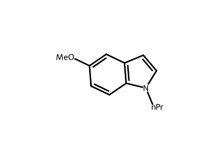 C[CH]Cn1ccc2cc(OC)ccc21